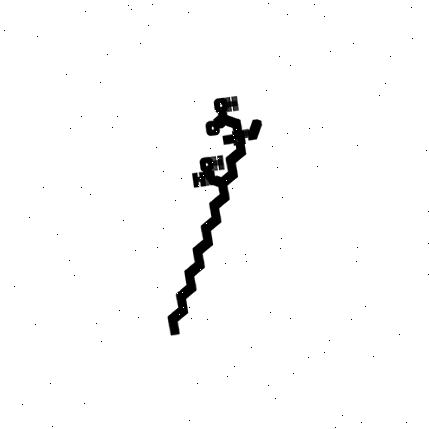 CCCCCCCCCCCCCC(CCC[N+](C)(CC)CC(=O)O)NO